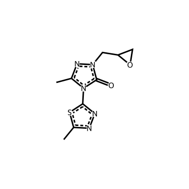 Cc1nnc(-n2c(C)nn(CC3CO3)c2=O)s1